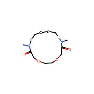 CN1CCCCCCN(C)C(=O)COCCOCC1=O